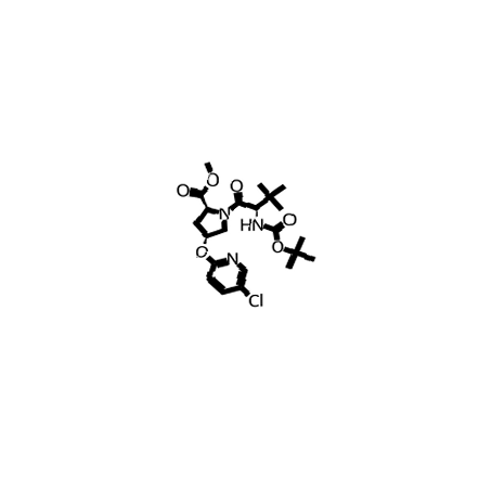 COC(=O)[C@@H]1C[C@@H](Oc2ccc(Cl)cn2)CN1C(=O)[C@@H](NC(=O)OC(C)(C)C)C(C)(C)C